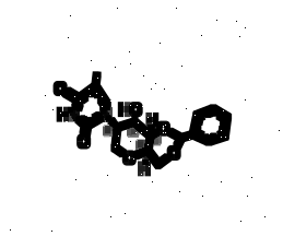 Cc1cn([C@@H]2CO[C@@H]3COC(c4ccccc4)O[C@H]3[C@H]2O)c(=O)[nH]c1=O